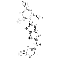 Cc1cc(C)c(-n2cc3sc(N[C@@H]4CC[C@@H](O)C4)nc3n2)c(O)c1